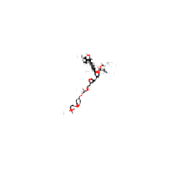 NC[C@@H](C(=O)NCCC(=O)Nc1cc(C[n+]2cccc(/C=C/C(=O)NCCCCC3CCN(C(=O)c4cccc(N)c4)CC3)c2)ccc1O[C@H]1O[C@H](CO)[C@@H](O)[C@H](O)[C@@H]1O)N1C(=O)C=CC1=O